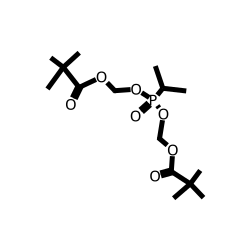 CC(C)P(=O)(OCOC(=O)C(C)(C)C)OCOC(=O)C(C)(C)C